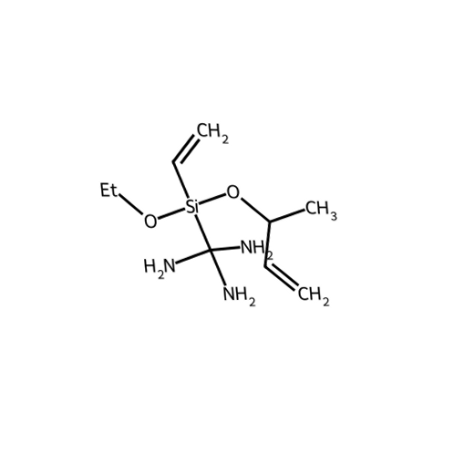 C=CC(C)O[Si](C=C)(OCC)C(N)(N)N